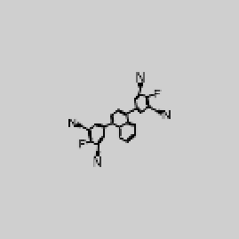 N#Cc1cc(-c2ccc(-c3cc(C#N)c(F)c(C#N)c3)c3ccccc23)cc(C#N)c1F